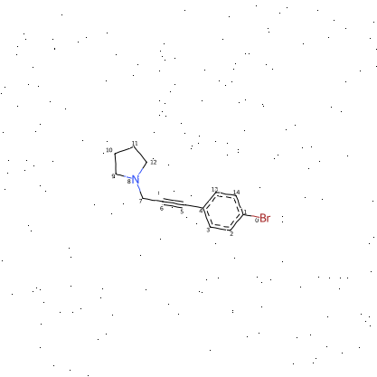 Brc1ccc(C#CCN2CCCC2)cc1